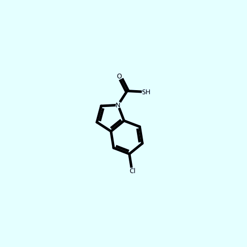 O=C(S)n1ccc2cc(Cl)ccc21